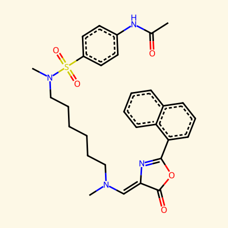 CC(=O)Nc1ccc(S(=O)(=O)N(C)CCCCCCN(C)C=C2N=C(c3cccc4ccccc34)OC2=O)cc1